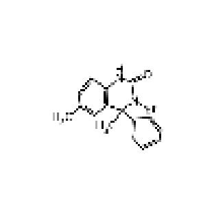 CCN1C(=O)Nc2ccc(C)cc2C1(C)c1ccccc1